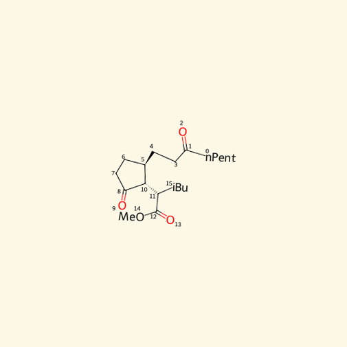 CCCCCC(=O)CC[C@@H]1CCC(=O)[C@H]1C(C(=O)OC)C(C)CC